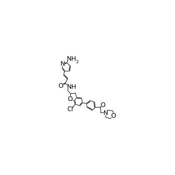 Nc1ccc(/C=C/C(=O)NCC2Cc3cc(-c4ccc(C(=O)CN5CCOCC5)cc4)cc(Cl)c3O2)cn1